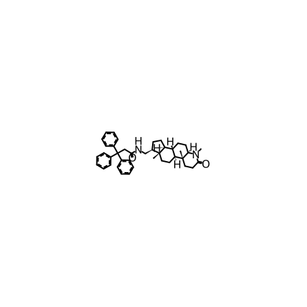 CN1C(=O)CC[C@]2(C)[C@H]3CC[C@]4(C)[C@@H](CNC(=O)CC(c5ccccc5)(c5ccccc5)c5ccccc5)CC[C@H]4[C@@H]3CC[C@@H]12